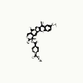 CCc1c2c(nc3ccc(C)cc13)-c1cc3c(c(=O)n1C2)COC(=O)C3(CC)OC(=O)C1CCN(C(=O)OC(C)(C)C)CC1